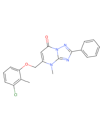 Cc1c(Cl)cccc1OCc1cc(=O)n2nc(-c3ccccc3)nc2n1C